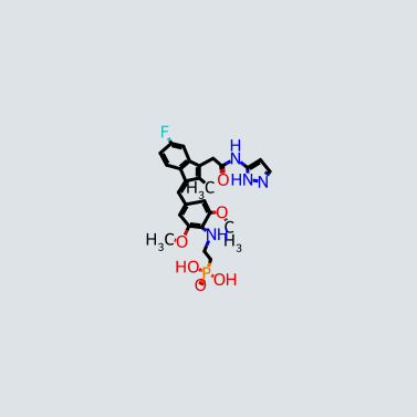 COc1cc(C=C2C(C)=C(CC(=O)Nc3ccn[nH]3)c3cc(F)ccc32)cc(OC)c1NCCP(=O)(O)O